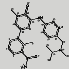 Cc1c(C(N)=O)cccc1-c1cc(Nc2ccc(CN(C)C(C)C)nn2)c(=O)n(C)c1